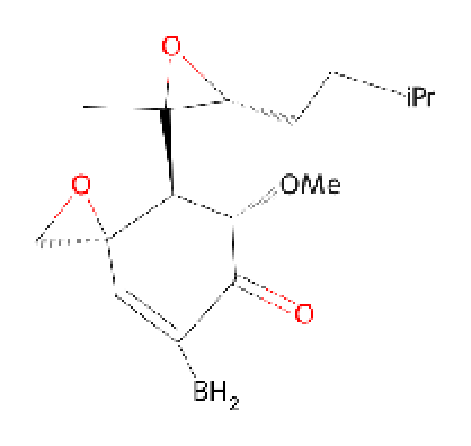 BC1=C[C@]2(CO2)[C@@H](C2(C)O[C@@H]2CCC(C)C)[C@H](OC)C1=O